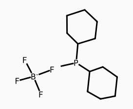 CP(C1CCCCC1)C1CCCCC1.F[B-](F)(F)F